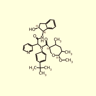 CO[C@H]1OC[C@@H](C(=O)N(c2ccc(C(C)(C)C)cc2)C(C(=O)N[C@@H]2c3ccccc3C[C@@H]2O)c2cccnc2)C(C)CC1C